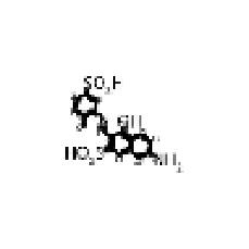 Cc1ccc(S(=O)(=O)O)cc1N=Nc1c(S(=O)(=O)O)cc2cc(N)ccc2c1O